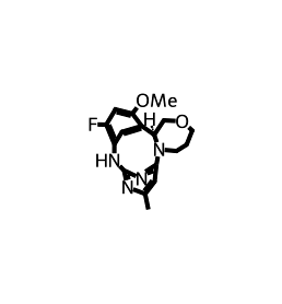 COc1cc(F)c2cc1[C@H]1COCCCN1c1cc(C)nc(n1)N2